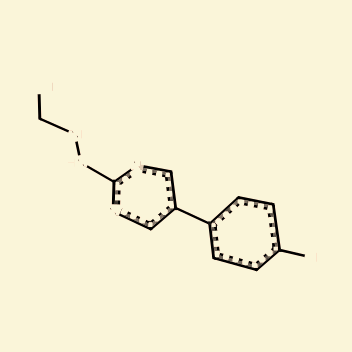 OCNNc1ncc(-c2ccc(Cl)cc2)cn1